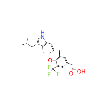 Cc1cc(CC(=O)O)cc(C(F)(F)F)c1Oc1ccc2[nH]cc(CC(C)C)c2c1